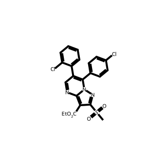 CCOC(=O)c1c(S(C)(=O)=O)nn2c(-c3ccc(Cl)cc3)c(-c3ccccc3Cl)cnc12